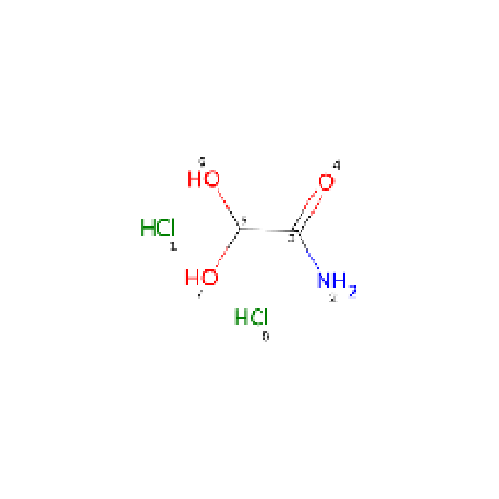 Cl.Cl.NC(=O)C(O)O